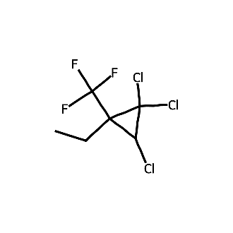 CCC1(C(F)(F)F)C(Cl)C1(Cl)Cl